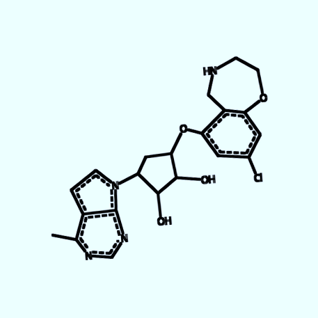 Cc1ncnc2c1ccn2C1CC(Oc2cc(Cl)cc3c2CNCCO3)C(O)C1O